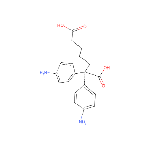 Nc1ccc(C(CCCCC(=O)O)(C(=O)O)c2ccc(N)cc2)cc1